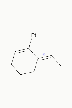 C/C=C1\CCCC=C1CC